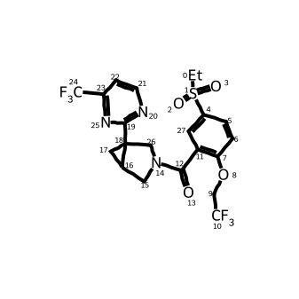 CCS(=O)(=O)c1ccc(OCC(F)(F)F)c(C(=O)N2CC3CC3(c3nccc(C(F)(F)F)n3)C2)c1